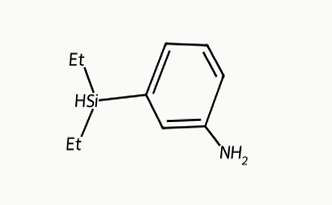 CC[SiH](CC)c1cccc(N)c1